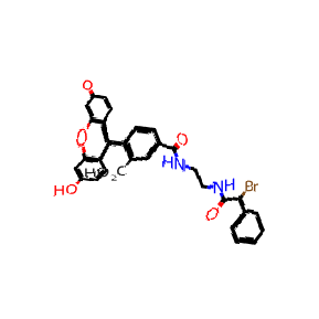 O=C(NCCNC(=O)C(Br)c1ccccc1)c1ccc(-c2c3ccc(=O)cc-3oc3cc(O)ccc23)c(C(=O)O)c1